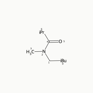 CCC(C)CN(C)C(=O)C(C)C